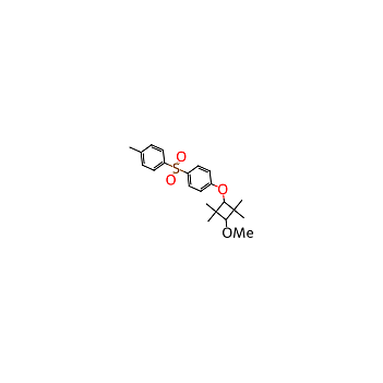 COC1C(C)(C)C(Oc2ccc(S(=O)(=O)c3ccc(C)cc3)cc2)C1(C)C